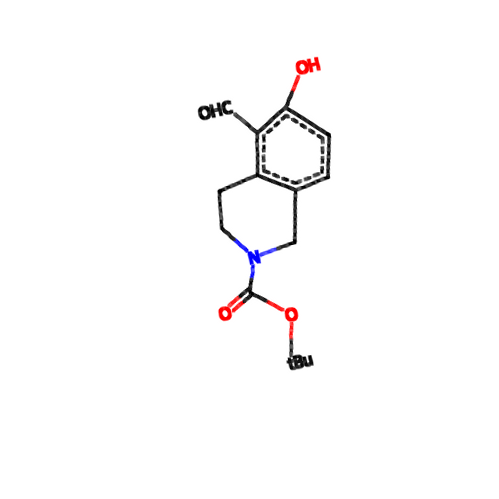 CC(C)(C)OC(=O)N1CCc2c(ccc(O)c2C=O)C1